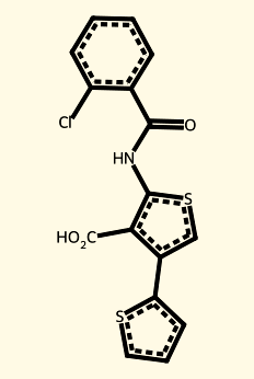 O=C(Nc1scc(-c2cccs2)c1C(=O)O)c1ccccc1Cl